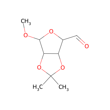 COC1OC(C=O)C2OC(C)(C)OC12